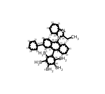 Bc1c(B)c(B)c(-c2c3ccccc3c(-n3c(CC)nc4ccccc43)c3ccc(-c4ccccc4)cc23)c(B)c1B